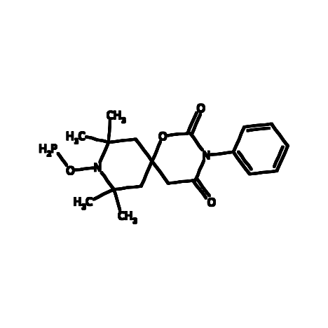 CC1(C)CC2(CC(=O)N(c3ccccc3)C(=O)O2)CC(C)(C)N1OP